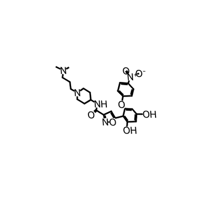 CN(C)CCCN1CCC(NC(=O)c2cc(-c3c(O)cc(O)cc3Oc3ccc([N+](=O)[O-])cc3)on2)CC1